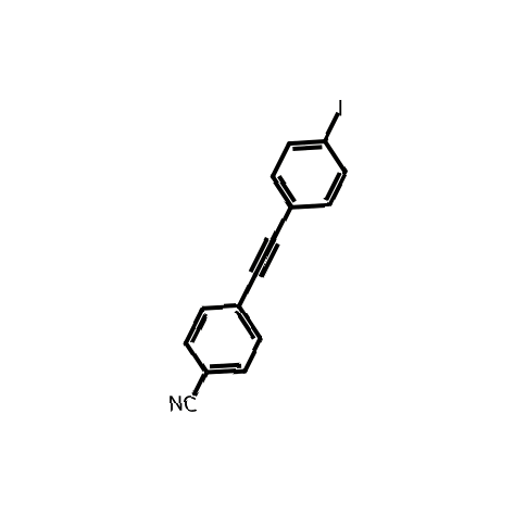 N#Cc1ccc(C#Cc2ccc(I)cc2)cc1